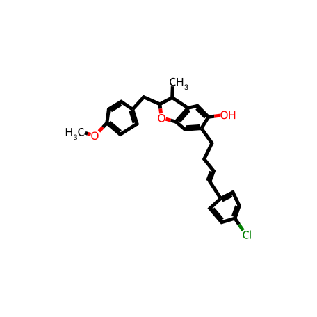 COc1ccc(CC2Oc3cc(CCC=Cc4ccc(Cl)cc4)c(O)cc3C2C)cc1